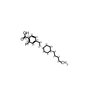 CCCCC[C@H]1CC[C@H](CCc2ccc(C(=O)O)c(F)c2)CC1